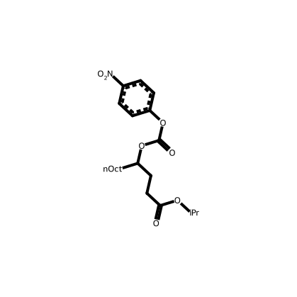 [CH2]C([CH2])OC(=O)CCC(CCCCCCCC)OC(=O)Oc1ccc([N+](=O)[O-])cc1